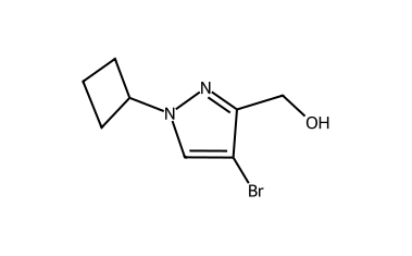 OCc1nn(C2CCC2)cc1Br